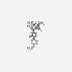 CCC1CCN(c2ccc(C(=O)NC3C(C)(C)CC3(C)C)cc2F)CC1